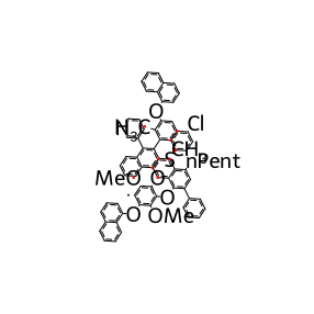 CCCCCc1cc(-c2ccccc2)c(Oc2c(OC)c(Oc3cccc4ccccc34)[c]c(OC)c2Oc2c(Sc3ccc(Cl)cc3)c(-c3c(C)ccc(Oc4cccc5ccccc45)c3C)c(-c3cccnc3)c3ccccc23)c2ccccc12